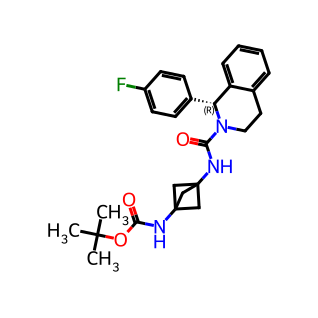 CC(C)(C)OC(=O)NC12CC(NC(=O)N3CCc4ccccc4[C@H]3c3ccc(F)cc3)(C1)C2